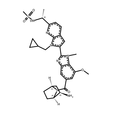 COc1cc(C(=O)N2[C@H]3CC[C@@H]2[C@H](N)C3)cc2nc(-c3cc4ccc([C@@H](C)NS(C)(=O)=O)nc4n3CC3CC3)n(C)c12